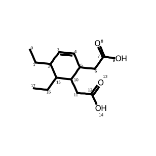 CCC1C=CC(CC(=O)O)C(CC(=O)O)C1CC